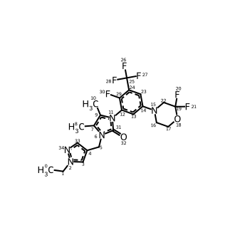 CCn1cc(Cn2c(C)c(C)n(-c3cc(N4CCOC(F)(F)C4)cc(C(F)(F)F)c3F)c2=O)cn1